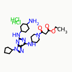 CCOC(=O)CC(=O)N1CCC(Nc2nc(NC3CCC(N)CC3)nc3c2ncn3C2CCCC2)CC1.Cl.Cl